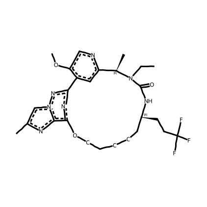 CCN1C(=O)N[C@@H](CCC(F)(F)F)CCCCCOc2nc(nn3cc(C)nc23)-c2cc(ncc2OC)[C@H]1C